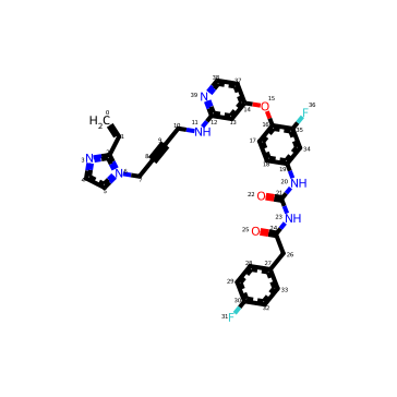 C=Cc1nccn1CC#CCNc1cc(Oc2ccc(NC(=O)NC(=O)Cc3ccc(F)cc3)cc2F)ccn1